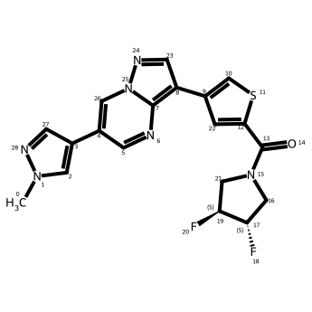 Cn1cc(-c2cnc3c(-c4csc(C(=O)N5C[C@H](F)[C@@H](F)C5)c4)cnn3c2)cn1